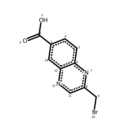 O=C(O)c1ccc2nc(CBr)cnc2c1